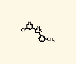 Cc1cccc(-c2cc(-c3cncc(Cl)c3)no2)c1